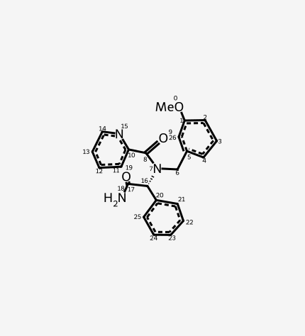 COc1cccc(CN(C(=O)c2ccccn2)[C@@H](C(N)=O)c2ccccc2)c1